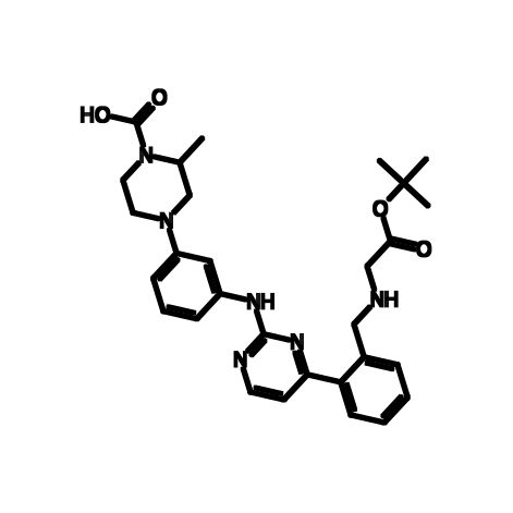 CC1CN(c2cccc(Nc3nccc(-c4ccccc4CNCC(=O)OC(C)(C)C)n3)c2)CCN1C(=O)O